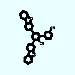 N#Cc1cccc(-c2cc(-c3ccc4c(c3)oc3ccccc34)cc(-c3ccc4c(c3)sc3ccccc34)c2C#N)c1